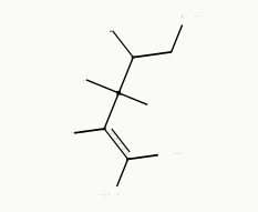 CCC(Cl)C(Cl)(Cl)C(O)=C(O)O